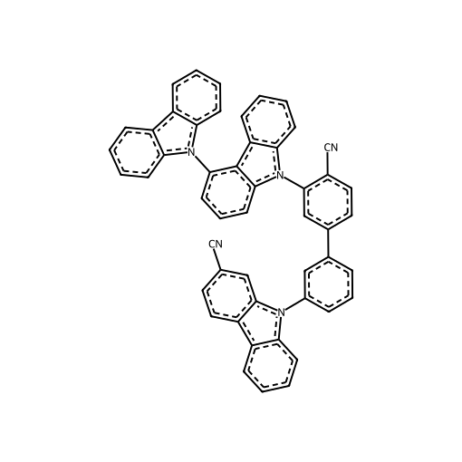 N#Cc1ccc2c3ccccc3n(-c3cccc(-c4ccc(C#N)c(-n5c6ccccc6c6c(-n7c8ccccc8c8ccccc87)cccc65)c4)c3)c2c1